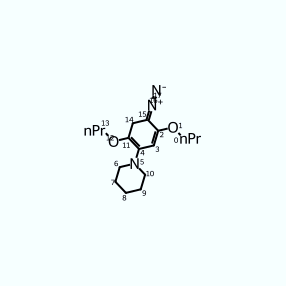 CCCOC1=CC(N2CCCCC2)=C(OCCC)CC1=[N+]=[N-]